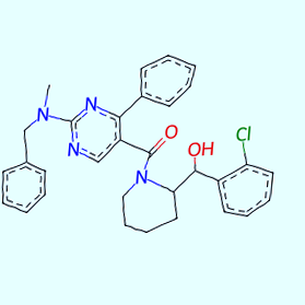 CN(Cc1ccccc1)c1ncc(C(=O)N2CCCCC2C(O)c2ccccc2Cl)c(-c2ccccc2)n1